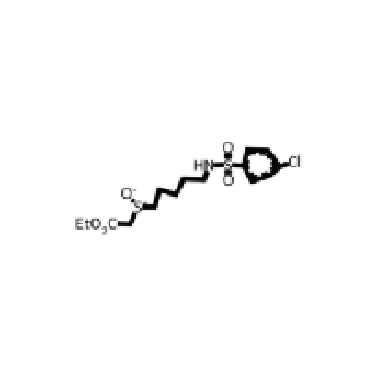 CCOC(=O)C[S+]([O-])CCCCCNS(=O)(=O)c1ccc(Cl)cc1